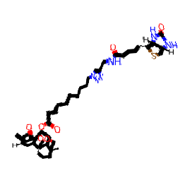 C=C1C(=O)[C@]23CC[C@H]1CC2[C@@]12CCC[C@@](C)(COC1=O)C2C[C@H]3OC(=O)CCCCCCCCCn1cc(CNC(=O)CCCC[C@H]2SC[C@H]3NC(=O)N[C@H]32)nn1